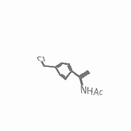 C=C(NC(C)=O)c1ccc(CCl)cc1